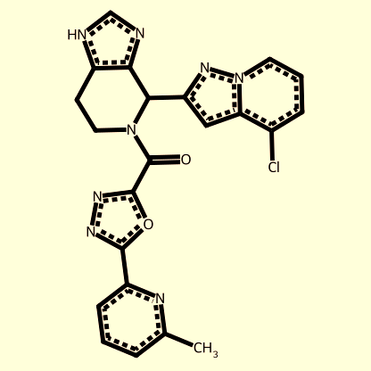 Cc1cccc(-c2nnc(C(=O)N3CCc4[nH]cnc4C3c3cc4c(Cl)cccn4n3)o2)n1